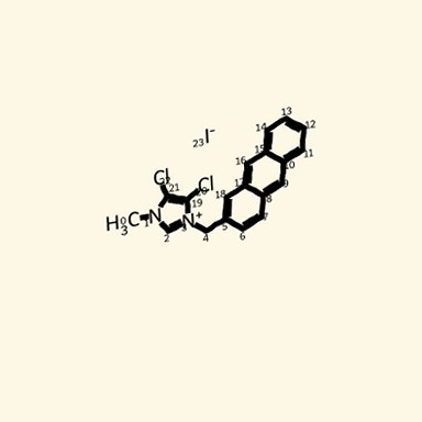 Cn1c[n+](Cc2ccc3cc4ccccc4cc3c2)c(Cl)c1Cl.[I-]